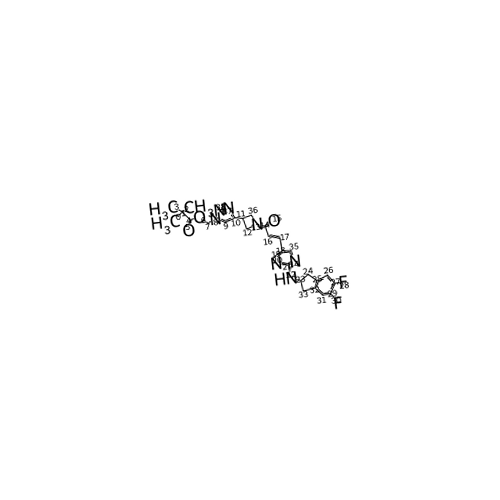 CC(C)(C)C(=O)OCn1cc(C2CN(C(=O)/C=C/c3cnc(NC4Cc5cc(F)c(F)cc5C4)nc3)C2)nn1